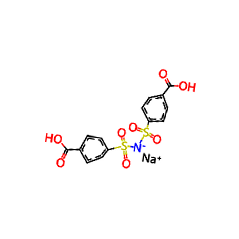 O=C(O)c1ccc(S(=O)(=O)[N-]S(=O)(=O)c2ccc(C(=O)O)cc2)cc1.[Na+]